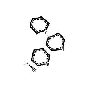 [Br][Rh].c1ccncc1.c1ccncc1.c1ccncc1